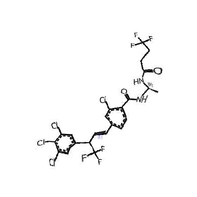 C[C@H](NC(=O)CCC(F)(F)F)NC(=O)c1ccc(/C=C/C(c2cc(Cl)c(Cl)c(Cl)c2)C(F)(F)F)cc1Cl